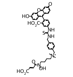 C[N+](C)(CCCCN(O)C(=O)/C=C/C(=O)O)Cc1ccc(CNC(=S)Nc2ccc(-c3c4ccc(=O)cc-4oc4cc(O)ccc34)c(C(=O)O)c2)cc1